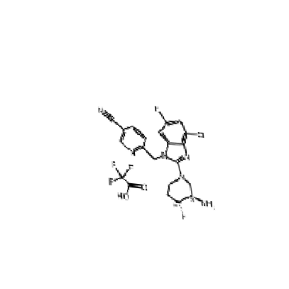 N#Cc1ccc(Cn2c(N3CC[C@@H](F)[C@H](N)C3)nc3c(Cl)cc(F)cc32)nc1.O=C(O)C(F)(F)F